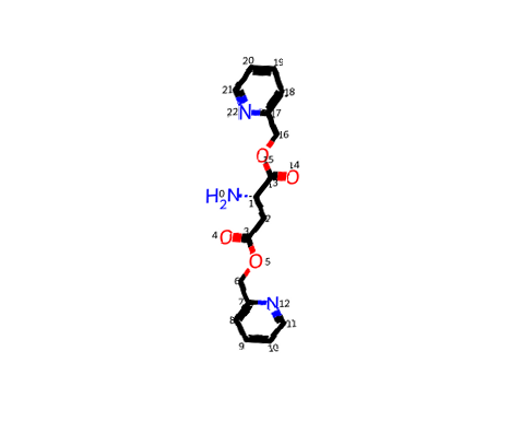 N[C@@H](CC(=O)OCc1ccccn1)C(=O)OCc1ccccn1